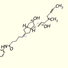 CC#CC[C@H](C)[C@H](O)/C=C/[C@@H]1[C@H]2C/C(=C/CCCC(=O)Nc3ccccc3)C[C@H]2C[C@H]1O